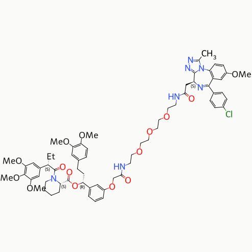 CC[C@H](C(=O)N1CCCC[C@H]1C(=O)O[C@H](CCc1ccc(OC)c(OC)c1)c1cccc(OCC(=O)NCCOCCOCCOCCNC(=O)C[C@@H]2N=C(c3ccc(Cl)cc3)c3cc(OC)ccc3-n3c(C)nnc32)c1)c1cc(OC)c(OC)c(OC)c1